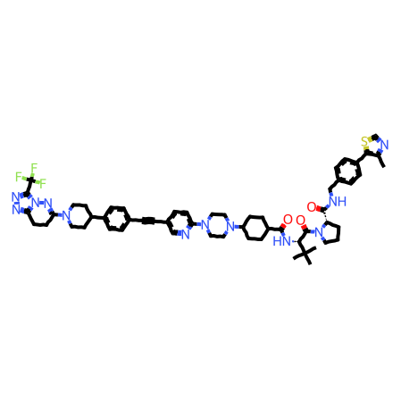 Cc1ncsc1-c1ccc(CNC(=O)[C@@H]2CCCN2C(=O)[C@@H](NC(=O)C2CCC(N3CCN(c4ccc(C#Cc5ccc(C6CCN(C7=Nn8c(nnc8C(F)(F)F)CC7)CC6)cc5)cn4)CC3)CC2)C(C)(C)C)cc1